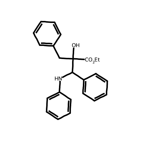 CCOC(=O)C(O)(Cc1ccccc1)C(Nc1ccccc1)c1ccccc1